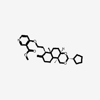 C=C1CCC2[C@]3(C)CO[C@@H](C4CCCC4)O[C@@H]3CC[C@@]2(C)[C@@H]1CCOc1ccncc1C(=O)OC